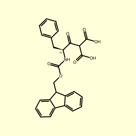 O=C(N[C@@H](Cc1ccccc1)C(=O)C(C(=O)O)C(=O)O)OCC1c2ccccc2-c2ccccc21